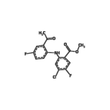 COC(=O)c1cc(F)c(Cl)cc1Nc1ccc(F)cc1C(C)=O